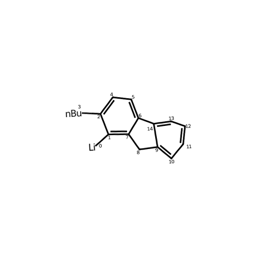 [Li][c]1c(CCCC)ccc2c1Cc1ccccc1-2